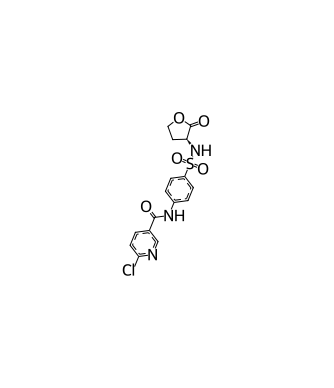 O=C(Nc1ccc(S(=O)(=O)N[C@H]2CCOC2=O)cc1)c1ccc(Cl)nc1